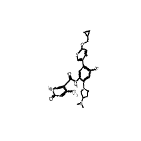 CN(C)C1CCN(c2cc(F)c(-c3ccc(OCC4CC4)nc3)cc2NC(=O)c2c[nH]c(=O)cc2C(F)(F)F)C1